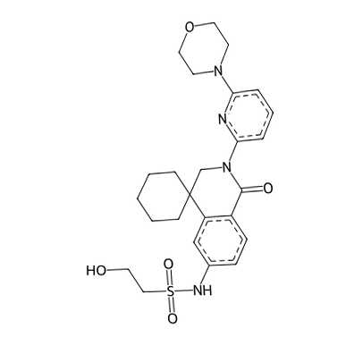 O=C1c2ccc(NS(=O)(=O)CCO)cc2C2(CCCCC2)CN1c1cccc(N2CCOCC2)n1